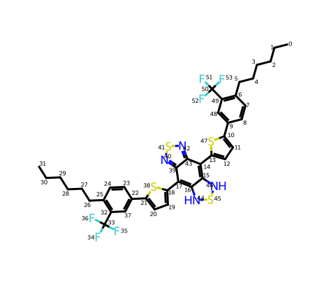 CCCCCCc1ccc(-c2ccc(-c3c4c(c(-c5ccc(-c6ccc(CCCCCC)c(C(F)(F)F)c6)s5)c5nsnc35)NSN4)s2)cc1C(F)(F)F